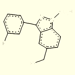 O=C(O)n1nc(-c2cccc(F)c2)c2cc(CO)ccc21